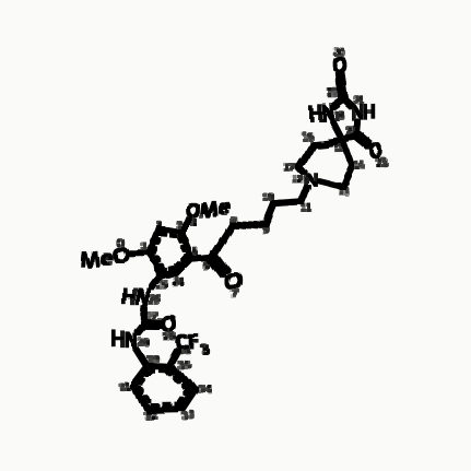 COc1cc(OC)c(C(=O)CCCCN2CCC3(CC2)NC(=O)NC3=O)cc1NC(=O)Nc1ccccc1C(F)(F)F